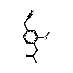 C=C(C)Cc1ccc(CC#N)cc1OC